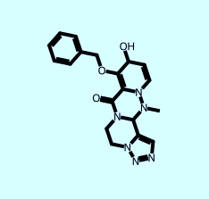 CN1C2c3cnnn3CCN2C(=O)C2=C(OCc3ccccc3)C(O)C=CN21